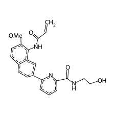 C=CC(=O)Nc1c(OC)ccc2ccc(-c3cccc(C(=O)NCCO)n3)cc12